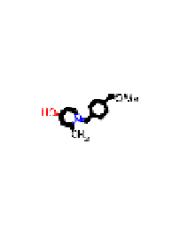 COCC1CCC(CN2CCC(O)CC2C)CC1